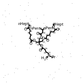 CCCCCCCOC(=O)CCCCC(=O)OCC(COC(=O)CCCCC(=O)OCCCCCCC)(COC(=O)CCCN(C)C(C)C)COC(=O)CC(CCCCC)CCCCC